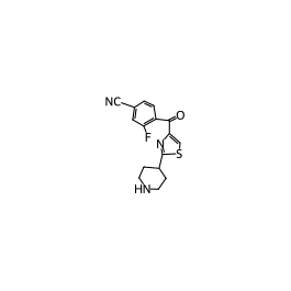 N#Cc1ccc(C(=O)c2csc(C3CCNCC3)n2)c(F)c1